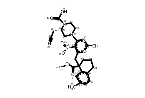 COC(=O)C1(Cc2nc(Cl)nc(N3CCN(C(=O)O)[C@@H](CC#N)C3)c2[N+](=O)[O-])CCCc2ccc(C)cc21